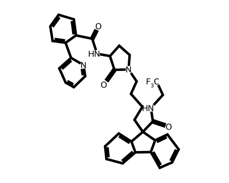 O=C(NC1CCN(CCCCC2(C(=O)NCC(F)(F)F)c3ccccc3-c3ccccc32)C1=O)c1ccccc1-c1ccccn1